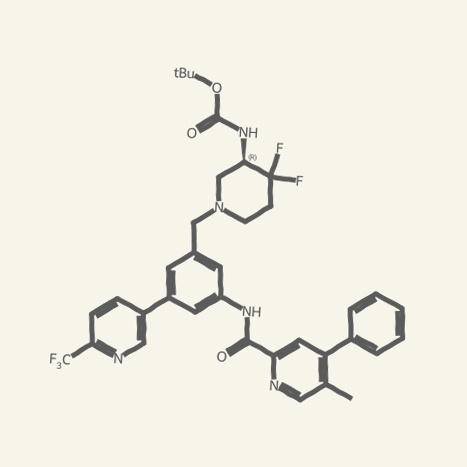 Cc1cnc(C(=O)Nc2cc(CN3CCC(F)(F)[C@H](NC(=O)OC(C)(C)C)C3)cc(-c3ccc(C(F)(F)F)nc3)c2)cc1-c1ccccc1